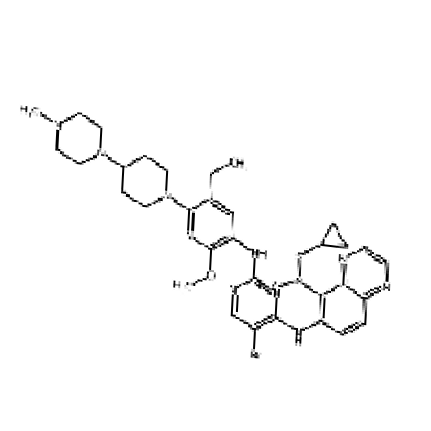 CCc1cc(Nc2ncc(Br)c(Nc3ccc4nccnc4c3N(C)SC3CC3)n2)c(OC)nc1N1CCC(N2CCN(C)CC2)CC1